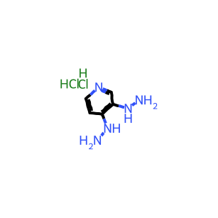 Cl.Cl.NNc1ccncc1NN